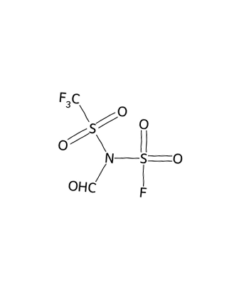 O=CN(S(=O)(=O)F)S(=O)(=O)C(F)(F)F